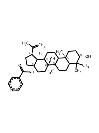 C=C(C)[C@@H]1CC[C@]2(NC(=O)c3ccncc3)CC[C@]3(C)[C@H](CCC4[C@@]5(C)CC[C@H](O)C(C)(C)C5CC[C@]43C)C12